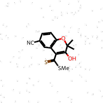 CSC(=S)C1=C(O)C(C)(C)Oc2ccc(C#N)cc21